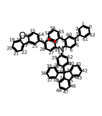 c1ccc(-c2ccc(N(c3ccc(-c4ccc5oc6ccccc6c5c4)cc3)c3ccc(C4(c5ccccc5)c5ccccc5-c5ccccc54)cc3)c(-c3ccccc3)c2)cc1